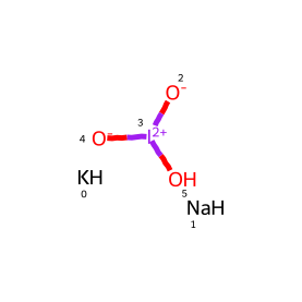 [KH].[NaH].[O-][I+2]([O-])O